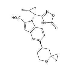 C[C@H]1C[C@]1(c1noc(=O)[nH]1)n1c(C(=O)O)cc2cc([C@@H]3CCOC4(CC4)C3)ccc21